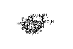 CC[C@H](C)[C@H](NC(=O)[C@@H](NC(=O)[C@H](CC(=O)O)NC(=O)[C@H](C)N)[C@@H](C)O)C(=O)N[C@@H](CCC(=O)O)C(=O)N[C@@H](CCSC)C(=O)N1CCC[C@H]1C(=O)N[C@@H](CCC(N)=O)C(=O)O